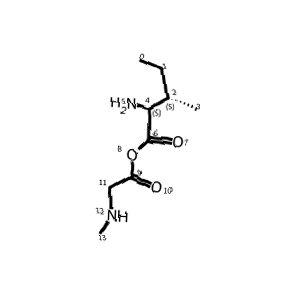 CC[C@H](C)[C@H](N)C(=O)OC(=O)CNC